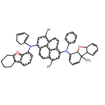 CC(C)c1cc(N(C2=CC=CC3(C)C2OC2C=CC=CC23)c2ccccc2)c2ccc3c(C(C)C)cc(N(C4=CC=CCC4)c4cccc5c6c(oc45)CCCC6)c4ccc1c2c34